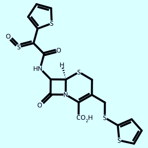 O=S=C(C(=O)NC1C(=O)N2C(C(=O)O)=C(CSc3cccs3)CS[C@H]12)c1cccs1